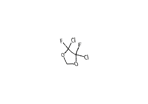 FC1(Cl)OCOC1(F)Cl